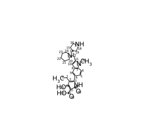 CCc1c(-c2ccc3c(c2)cc(C[N+]2(C4CCNCC4)CCCCC2)n3C)[nH]c(=O)c(C(=O)O)c1O